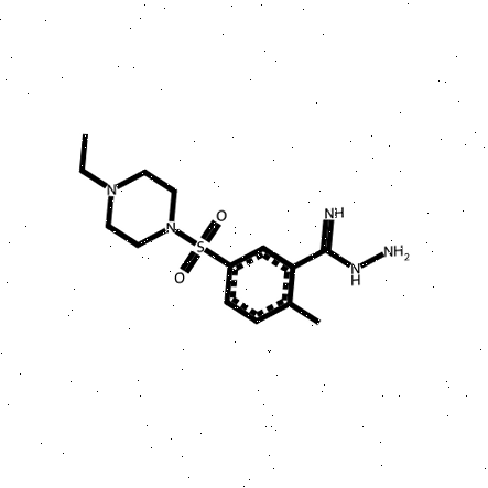 CCN1CCN(S(=O)(=O)c2ccc(C)c(C(=N)NN)c2)CC1